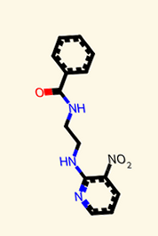 O=C(NCCNc1ncccc1[N+](=O)[O-])c1ccccc1